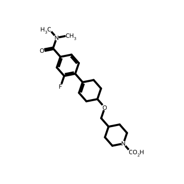 CN(C)C(=O)c1ccc(C2=CCC(OCC3CCN(C(=O)O)CC3)CC2)c(F)c1